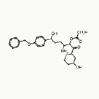 NC(CCC(O)c1ccc(OCc2ccccc2)cc1)C(OC(=O)C(=O)O)C(=O)C1CCCC(O)C1